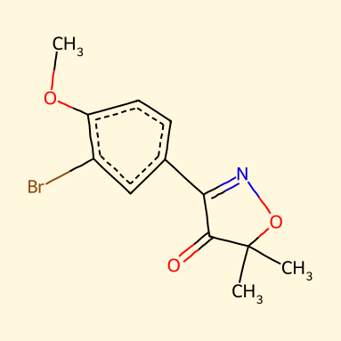 COc1ccc(C2=NOC(C)(C)C2=O)cc1Br